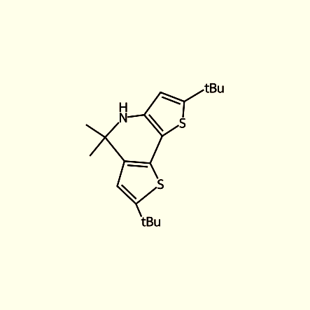 CC(C)(C)c1cc2c(s1)-c1sc(C(C)(C)C)cc1C(C)(C)N2